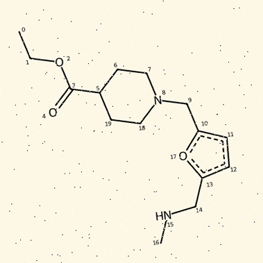 CCOC(=O)C1CCN(Cc2ccc(CNC)o2)CC1